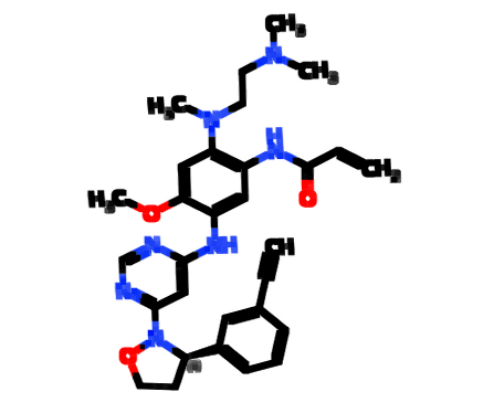 C#Cc1cccc([C@H]2CCON2c2cc(Nc3cc(NC(=O)C=C)c(N(C)CCN(C)C)cc3OC)ncn2)c1